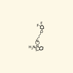 NC1SCc2ccccc2N1C1CCN(CCCCCOc2ccc(F)c(F)c2)CC1